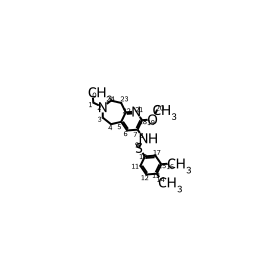 CCN1CCc2cc(NSc3ccc(C)c(C)c3)c(OC)nc2CC1